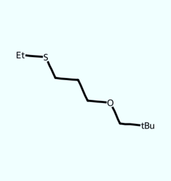 CCSCCCOCC(C)(C)C